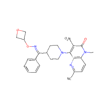 Cn1c(=O)c([N+](=O)[O-])c(N2CCC(/C(=N/OC3COC3)c3ccccc3)CC2)c2nc(C#N)ccc21